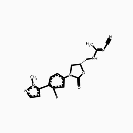 C/C(=N\C#N)NC[C@H]1CN(c2ccc(-c3ccnn3C)c(F)c2)C(=O)O1